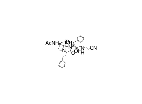 CC(=O)N[C@]1(CC(C)C)CCN(C(CCc2ccccc2)C(=O)N[C@@H](Cc2ccccc2)[C@H](O)CNCCC#N)C1=O